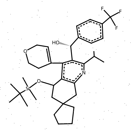 CC(C)c1nc2c(c(C3=CCOCC3)c1[C@H](O)c1ccc(C(F)(F)F)cc1)C(O[Si](C)(C)C(C)(C)C)CC1(CCCC1)C2